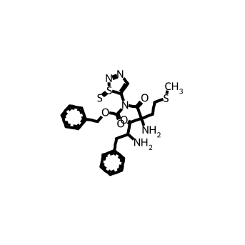 CSCCC(N)(C(=O)C(N)Cc1ccccc1)C(=O)N(C(=O)OCc1ccccc1)C1=CN=NS1=S